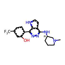 CN1CCC[C@@H](Nc2nnc(-c3ccc(C(F)(F)F)cc3O)c3[nH]ccc23)C1